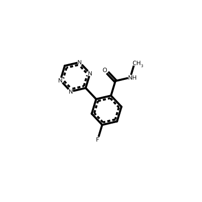 CNC(=O)c1ccc(F)cc1-c1nncnn1